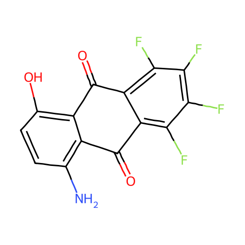 Nc1ccc(O)c2c1C(=O)c1c(F)c(F)c(F)c(F)c1C2=O